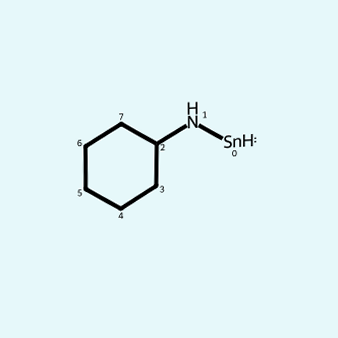 [SnH][NH]C1CCCCC1